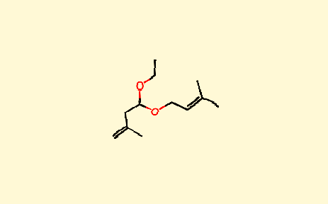 C=C(C)CC(OCC)OCC=C(C)C